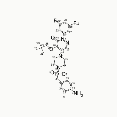 Cc1cc(CS(=O)(=O)N2CCN(c3cnn(-c4cc(F)cc(F)c4)c(=O)c3OCC(C)(C)C)CC2)ccc1N